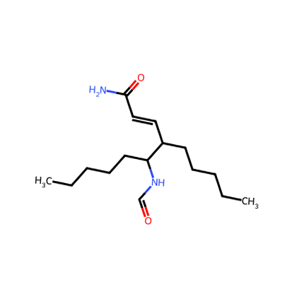 CCCCCC(C=CC(N)=O)C(CCCCC)NC=O